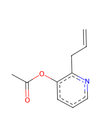 C=CCc1ncccc1OC(C)=O